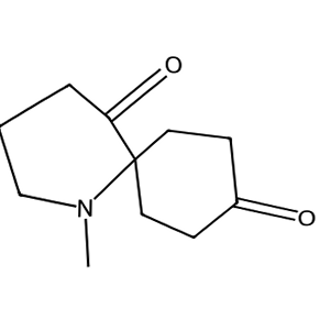 CN1CCCC(=O)C12CCC(=O)CC2